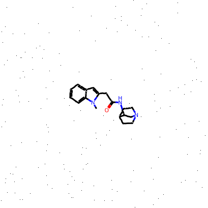 Cn1c(CC(=O)NC2CN3CCC2CC3)cc2ccccc21